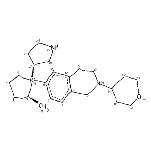 C[C@H]1CCC[N+]1(c1ccc2c(c1)CCN(C1CCOCC1)C2)[C@H]1CCNC1